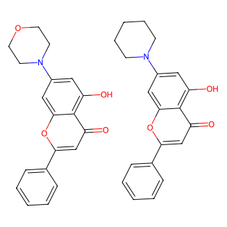 O=c1cc(-c2ccccc2)oc2cc(N3CCCCC3)cc(O)c12.O=c1cc(-c2ccccc2)oc2cc(N3CCOCC3)cc(O)c12